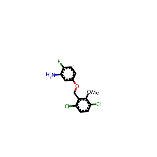 COc1c(Cl)ccc(Cl)c1COc1ccc(F)c(N)c1